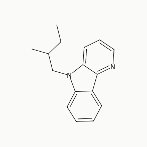 CCC(C)Cn1c2ccccc2c2ncccc21